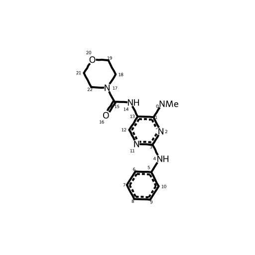 CNc1nc(Nc2ccccc2)ncc1NC(=O)N1CCOCC1